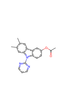 CC(=O)Oc1ccc2c(c1)c1cc(C)c(C)cc1n2-c1ncccn1